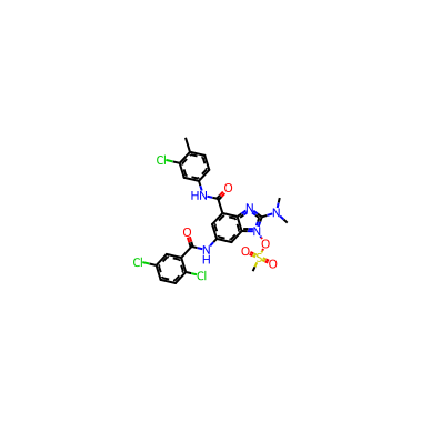 Cc1ccc(NC(=O)c2cc(NC(=O)c3cc(Cl)ccc3Cl)cc3c2nc(N(C)C)n3OS(C)(=O)=O)cc1Cl